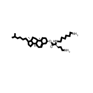 CC(C)CCCCC1CCC2[C@@H]3CC=C4C[C@@H](OC(=O)[C@H](CCCN)NCCCCCCN)CC[C@]4(C)C3CC[C@]12C